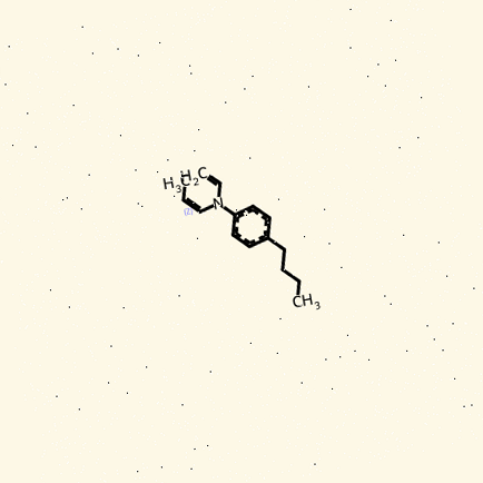 C=CN(/C=C\C)c1ccc(CCCC)cc1